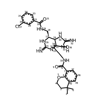 CC1(C)CCOc2c(C(=O)NC3CN4C(=N)N[C@@H](CNC(=O)c5cccc(Cl)c5)C5NC(=N)NC54[C@@H]3O)cccc21